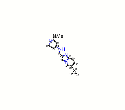 CNc1cc(NCc2cn3cc(C4CC4)ccc3n2)ccn1